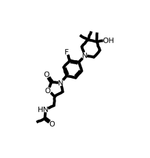 CC(=O)NCC1CN(c2ccc(N3CCC(C)(O)C(C)(C)C3)c(F)c2)C(=O)O1